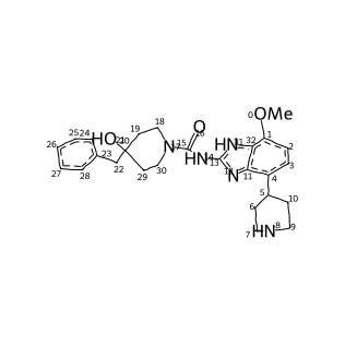 COc1ccc(C2CCNCC2)c2nc(NC(=O)N3CCC(O)(Cc4ccccc4)CC3)[nH]c12